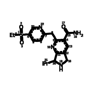 CCS(=O)(=O)c1ccc(Cc2nc3c(cc2C(N)=O)CNC3C(C)C)nc1